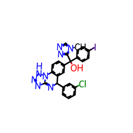 Cn1cnnc1C(O)(c1ccc(I)cc1)c1ccc2c(c1)C(c1cccc(Cl)c1)N=C1N=NNN12